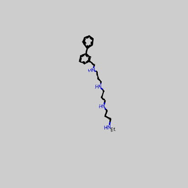 CCNCCCNCCCNCCCNCc1cccc(-c2ccccc2)c1